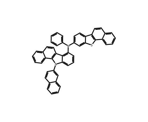 c1ccc(N(c2ccc3c(c2)sc2c4ccccc4ccc32)c2cccc3c2c2ccc4ccccc4c2n3-c2ccc3ccccc3c2)cc1